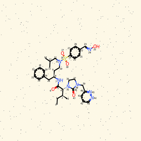 CC[C@H](C)[C@H](C(=O)N[C@H](CCN(CC(C)C)S(=O)(=O)c1ccc(/C=N/O)cc1)Cc1ccccc1)N1CCN(Cc2cccnn2)C1=O